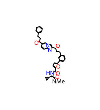 CNC(=O)[C@@H](NC(=O)c1ccc(-c2cccc(CCC(=O)c3cn4cc(C(=O)CCc5ccccc5)ccc4n3)c2)o1)C1CC1